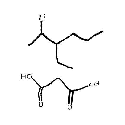 O=C(O)CC(=O)O.[Li][CH](C)C(CC)CCC